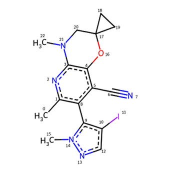 Cc1nc2c(c(C#N)c1-c1c(I)cnn1C)OC1(CC1)CN2C